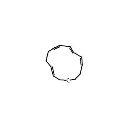 [CH]1/C=C/CC\C=C/C=C/C=C\CCC1